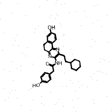 O=C(Cc1ccc(O)cc1)Nc1nc2c(nc1CCC1CCCCC1)-c1ccc(O)cc1CC2